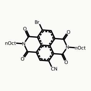 CCCCCCCCN1C(=O)c2cc(C#N)c3c4c(cc(Br)c(c24)C1=O)C(=O)N(CCCCCCCC)C3=O